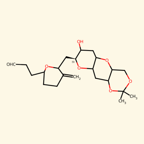 C=C1CCC(CCC=O)OC1C[C@@H]1OC2CC3OC(C)(C)OCC3OC2CC1O